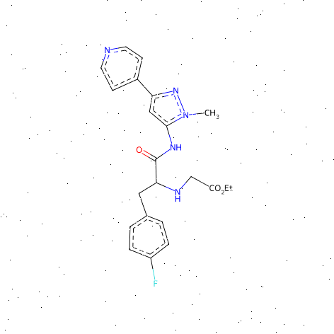 CCOC(=O)CNC(Cc1ccc(F)cc1)C(=O)Nc1cc(-c2ccncc2)nn1C